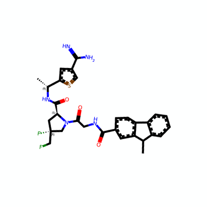 CC1c2ccccc2-c2ccc(C(=O)NCC(=O)N3C[C@@](F)(CF)C[C@H]3C(=O)N[C@H](C)c3cc(C(=N)N)cs3)cc21